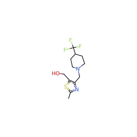 Cc1nc(CN2CCC(C(F)(F)F)CC2)c(CO)s1